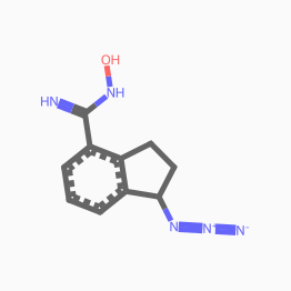 [N-]=[N+]=NC1CCc2c(C(=N)NO)cccc21